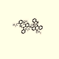 COc1ccc(C(C)(C)c2ccc(OC)c(C(=C=Nc3ccccc3C)c3ccccc3)c2)cc1C(=C=Nc1ccccc1C)c1ccccc1